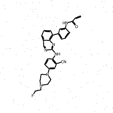 C=CC(=O)Nc1cccc(-c2cccc3cnc(Nc4ccc(N5CCN(CCF)CC5)cc4C#N)nc23)c1